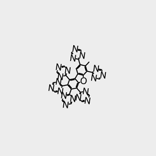 Cc1c(-c2ncncn2)cc2c(oc3c(-c4ncncn4)c(-c4ncncn4)c(-c4ncncn4)c(-c4ncncn4)c32)c1-c1ncncn1